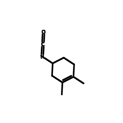 CC1=C(C)CC(N=C=O)CC1